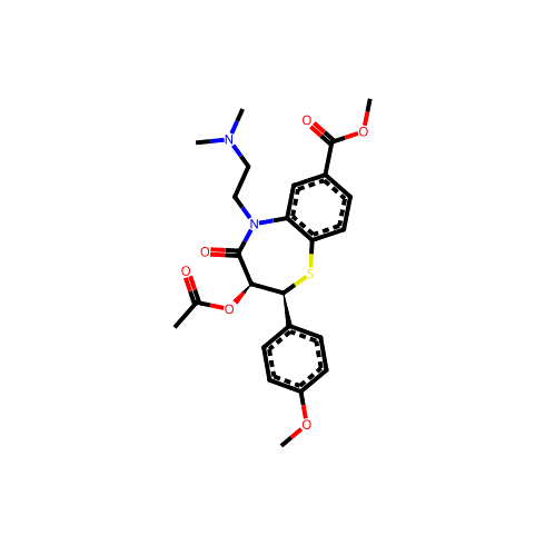 COC(=O)c1ccc2c(c1)N(CCN(C)C)C(=O)[C@H](OC(C)=O)[C@H](c1ccc(OC)cc1)S2